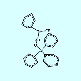 FC(F)(F)[N]([Zn][O][Si](c1ccccc1)(c1ccccc1)c1ccccc1)c1ccccc1